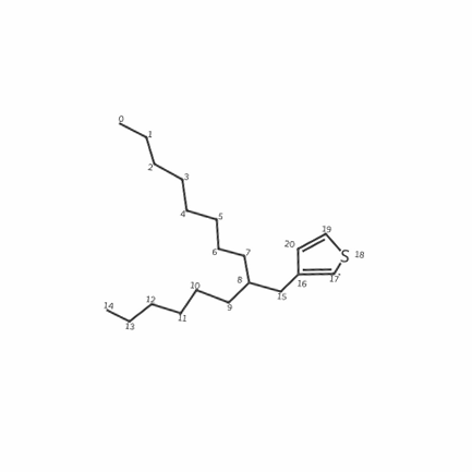 CCCCCCCCC(CCCCCC)Cc1[c]scc1